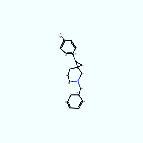 FC(F)(F)c1ccc([C@H]2CC23CCCN(Cc2ccccc2)C3)cc1